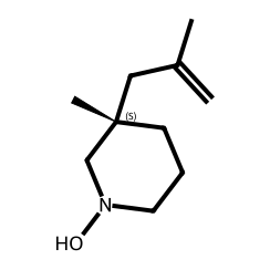 C=C(C)C[C@]1(C)CCCN(O)C1